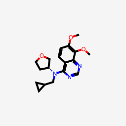 COc1ccc2c(N(CC3CC3)[C@@H]3CCOC3)ncnc2c1OC